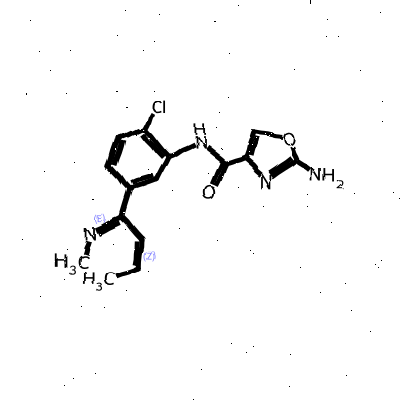 C/C=C\C(=N/C)c1ccc(Cl)c(NC(=O)c2coc(N)n2)c1